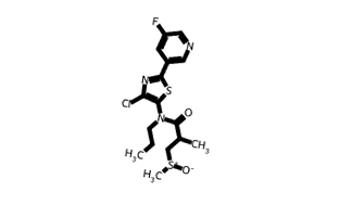 CCCN(C(=O)C(C)C[S+](C)[O-])c1sc(-c2cncc(F)c2)nc1Cl